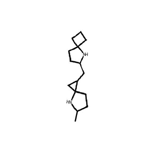 CC1CCC2(CC2CC2CCC3(CCC3)N2)N1